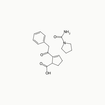 NC(=O)N1CCCC1.O=C(Cc1ccccc1)C1=CCCC1C(=O)O